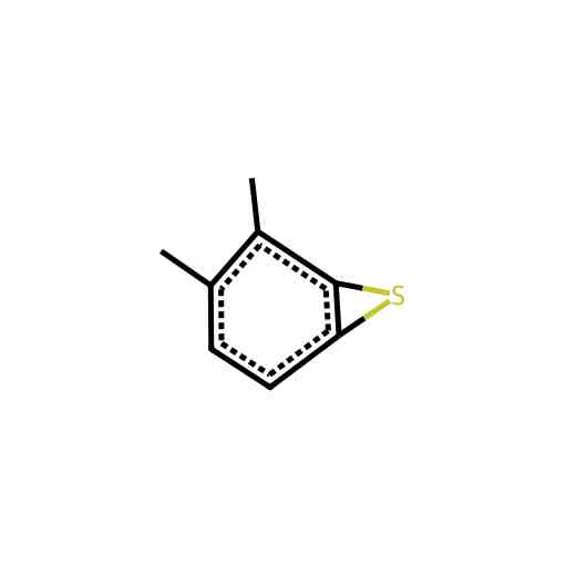 Cc1ccc2c(c1C)S2